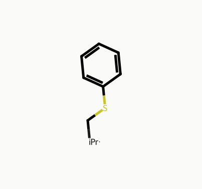 C[C](C)CSc1ccccc1